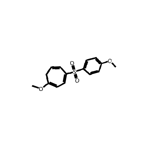 COC1=CC=C(S(=O)(=O)c2ccc(OC)cc2)C=CC1